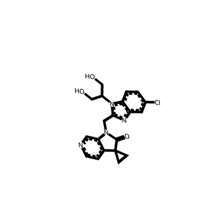 O=C1N(Cc2nc3cc(Cl)ccc3n2C(CO)CO)c2cnccc2C12CC2